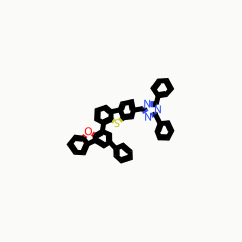 c1ccc(-c2cc(-c3cccc4c3sc3cc(-c5nc(-c6ccccc6)nc(-c6ccccc6)n5)ccc34)c3oc4ccccc4c3c2)cc1